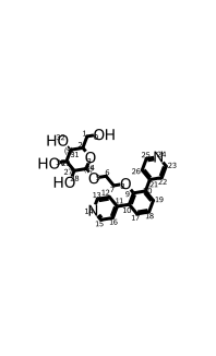 OCC1O[C@@H](OCCOc2c(-c3ccncc3)cccc2-c2ccncc2)C(O)C(O)[C@@H]1O